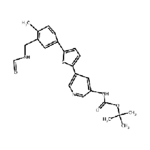 Cc1ccc(-c2ccc(-c3cncc(NC(=O)OC(C)(C)C)c3)s2)cc1CNC=O